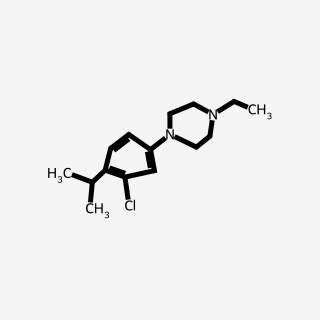 CCN1CCN(c2ccc(C(C)C)c(Cl)c2)CC1